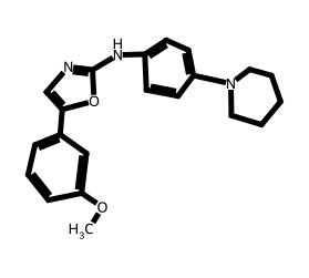 COc1cccc(-c2cnc(Nc3ccc(N4CCCCC4)cc3)o2)c1